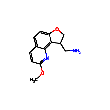 COc1ccc2ccc3c(c2n1)C(CN)CO3